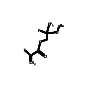 C=C(F)C(=O)OCC(F)(OCCCC)C(F)(F)F